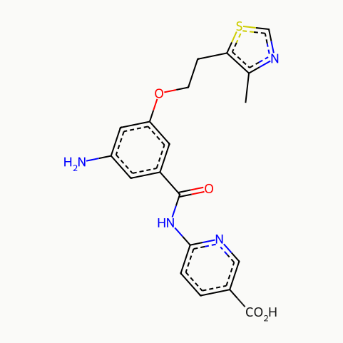 Cc1ncsc1CCOc1cc(N)cc(C(=O)Nc2ccc(C(=O)O)cn2)c1